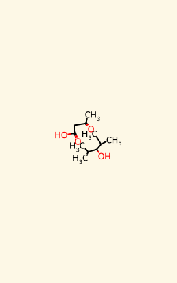 CC(=O)CC(=O)O.CC(C)C(O)C(C)C